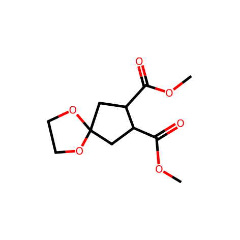 COC(=O)C1CC2(CC1C(=O)OC)OCCO2